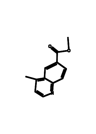 COC(=O)c1ccc2nccc(C)c2c1